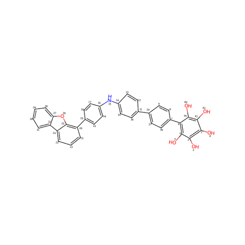 Oc1c(O)c(O)c(-c2ccc(-c3ccc(Nc4ccc(-c5cccc6c5oc5ccccc56)cc4)cc3)cc2)c(O)c1O